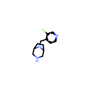 Fc1cnccc1CN1C2CCC1CNC2